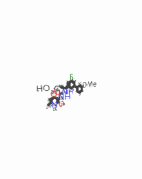 COc1cccc(-c2cc(F)cc(C(CC(=O)O)NC(=O)NC3C(=O)C=C(C)N(C)C3=O)c2)c1